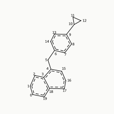 c1ccc2c(Cc3ccc(C4CC4)cc3)cccc2c1